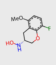 COc1ccc(F)c2c1C[C@@H](NO)CO2